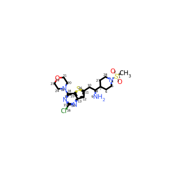 CS(=O)(=O)N1CCC(C(N)Cc2cc3nc(Cl)nc(N4CCOCC4)c3s2)CC1